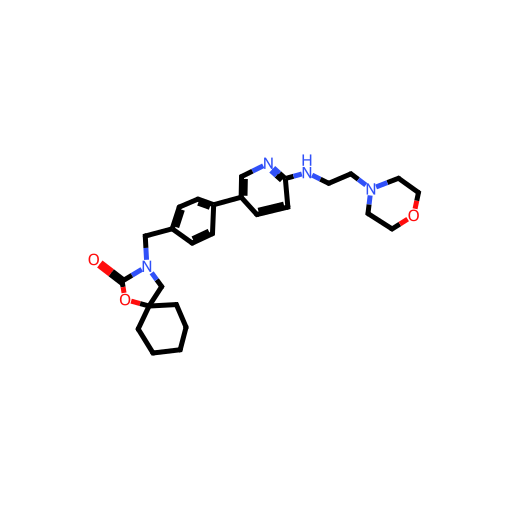 O=C1OC2(CCCCC2)CN1Cc1ccc(-c2ccc(NCCN3CCOCC3)nc2)cc1